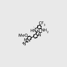 COc1cc(-c2ccc3nc(C)nc(N[C@H](C)c4cc(N)cc(C(F)(F)F)c4)c3c2)cn2cc(N(C)C)nc12